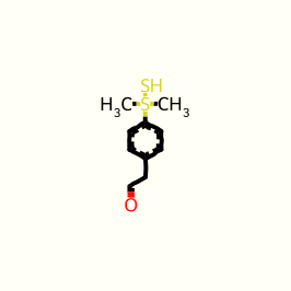 CS(C)(S)c1ccc(CC=O)cc1